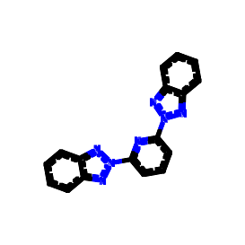 c1cc(-n2nc3ccccc3n2)nc(-n2nc3ccccc3n2)c1